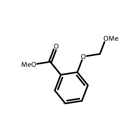 COCOc1cc[c]cc1C(=O)OC